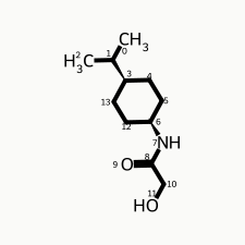 CC(C)[C@H]1CC[C@@H](NC(=O)CO)CC1